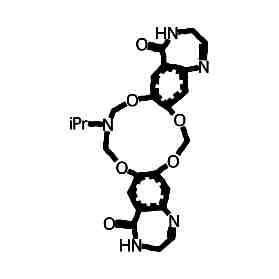 CC(C)N1COc2cc3c(cc2OCOc2cc4c(cc2OC1)C(=O)NCC=N4)N=CCNC3=O